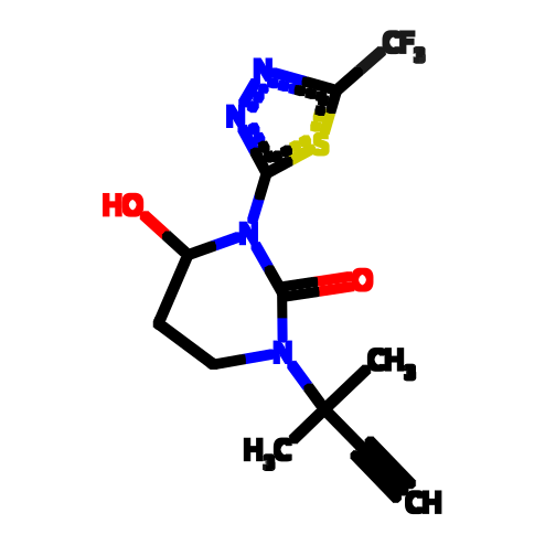 C#CC(C)(C)N1CCC(O)N(c2nnc(C(F)(F)F)s2)C1=O